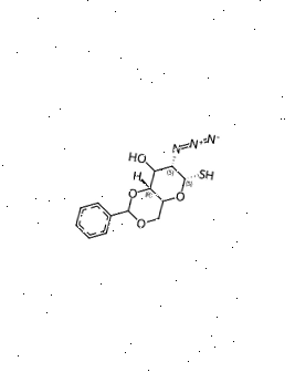 [N-]=[N+]=N[C@H]1C(O)[C@H]2OC(c3ccccc3)OCC2O[C@H]1S